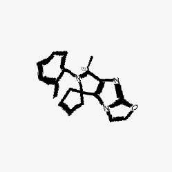 Cc1ccccc1N1[C@@H](C)c2nc3occn3c2C12CCCC2